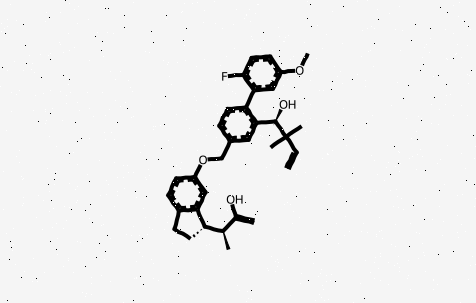 C=CC(C)(C)[C@H](O)c1cc(COc2ccc3c(c2)[C@H]([C@H](C)C(=C)O)CC3)ccc1-c1cc(OC)ccc1F